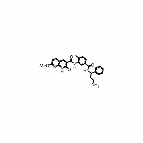 COc1ccc2cc(C(=O)Nc3cc(C(=O)NC(CCN)c4ccccc4)ccc3C)c(=O)[nH]c2n1